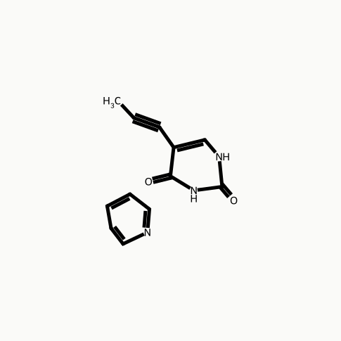 CC#Cc1c[nH]c(=O)[nH]c1=O.c1ccncc1